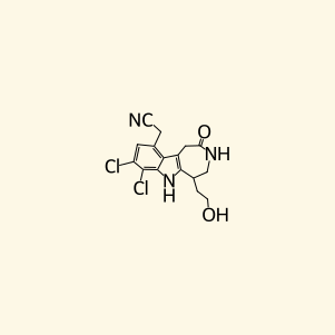 N#CCc1cc(Cl)c(Cl)c2[nH]c3c(c12)CC(=O)NCC3CCO